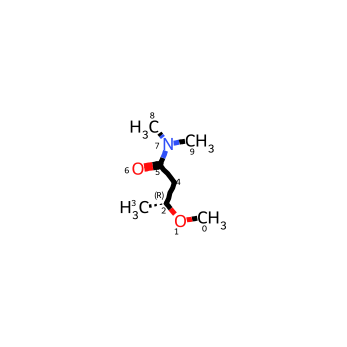 CO[C@H](C)CC(=O)N(C)C